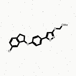 COCOc1cc(-c2ccc(OC3CCc4ccc(Cl)cc43)cc2)on1